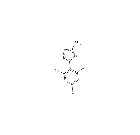 [CH2]c1cnc(-c2c(Cl)cc(Cl)cc2Cl)o1